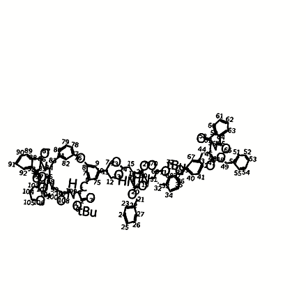 CC(C)(C)OC(=O)C1Cc2cc(cc(C3COC(C[C@H](NC(=O)OCc4ccccc4)C(=O)N[C@@H](Cc4cccc(Oc5cccc(C[C@@H](C(=O)OCc6ccccc6)N6C(=O)c7ccccc7C6=O)c5)c4)C(=O)OC(C)(C)C)OC3)c2)Oc2cccc(c2)CC(N2C(=O)c3ccccc3C2=O)C(=O)N[C@@H](CC2OCCCO2)C(=O)N1